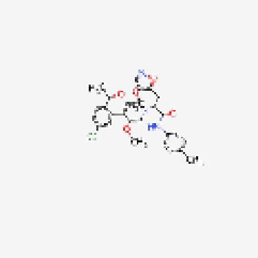 COC(=C/N(C)C(Cc1ccno1)C(=O)Nc1ccc(C)cc1)/C(=C\C=O)c1cc(Cl)ccc1C(C)=O